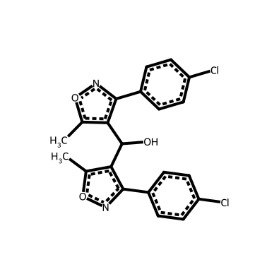 Cc1onc(-c2ccc(Cl)cc2)c1C(O)c1c(-c2ccc(Cl)cc2)noc1C